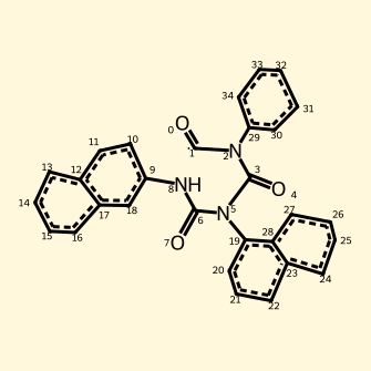 O=[C]N(C(=O)N(C(=O)Nc1ccc2ccccc2c1)c1cccc2ccccc12)c1ccccc1